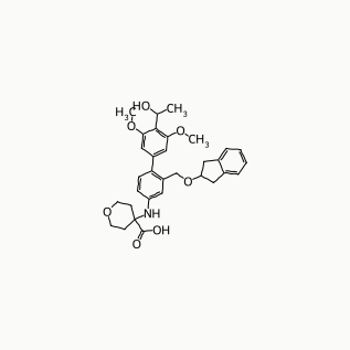 COc1cc(-c2ccc(NC3(C(=O)O)CCOCC3)cc2COC2Cc3ccccc3C2)cc(OC)c1C(C)O